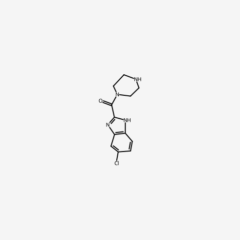 O=C(c1nc2cc(Cl)ccc2[nH]1)N1CCNCC1